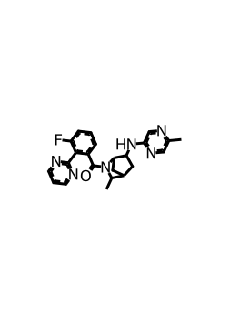 Cc1cnc(NC2CC3CC2N(C(=O)c2cccc(F)c2-c2ncccn2)C3C)cn1